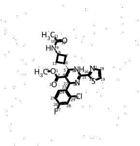 COC(=O)C1=C([C@H]2C[C@H](NC(C)=O)C2)NC(c2nccs2)=NC1c1ccc(F)cc1Cl